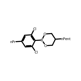 CCCCCC1COB(c2c(Cl)cc(CCC)cc2Cl)OC1